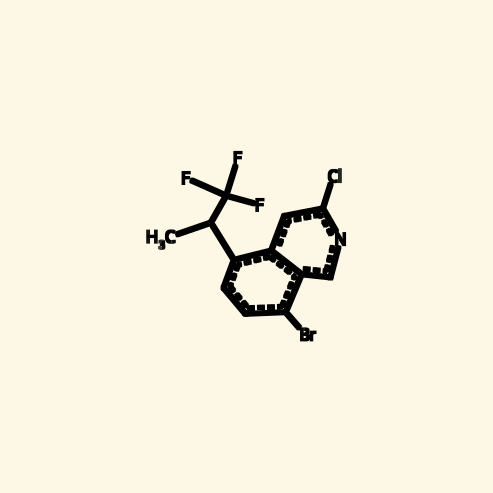 CC(c1ccc(Br)c2cnc(Cl)cc12)C(F)(F)F